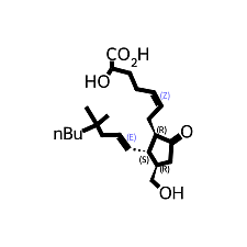 CCCCC(C)(C)C/C=C/[C@H]1[C@H](CO)CC(=O)[C@@H]1C/C=C\CCC(O)C(=O)O